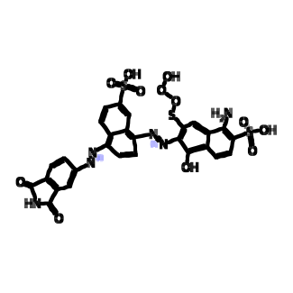 Nc1c(S(=O)(=O)O)ccc2c(O)c(/N=N/c3ccc(/N=N/c4ccc5c(c4)C(=O)NC5=O)c4ccc(S(=O)(=O)O)cc34)c(SOOO)cc12